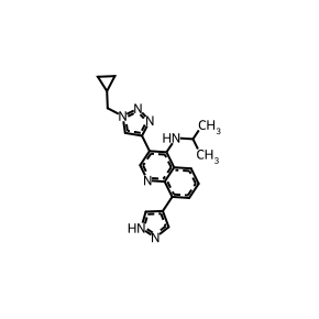 CC(C)Nc1c(-c2cn(CC3CC3)nn2)cnc2c(-c3cn[nH]c3)cccc12